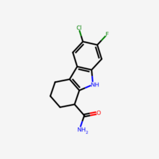 NC(=O)C1CCCc2c1[nH]c1cc(F)c(Cl)cc21